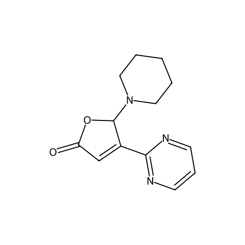 O=C1C=C(c2ncccn2)C(N2CCCCC2)O1